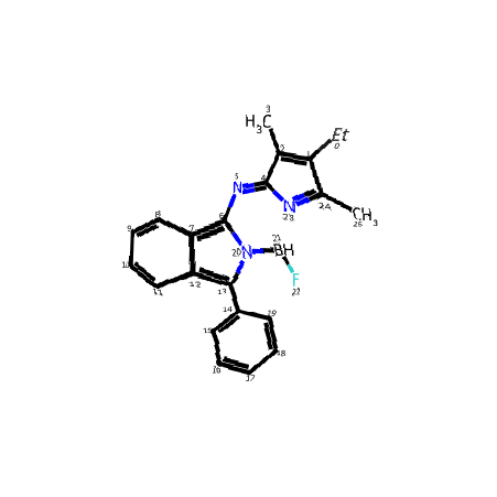 CCC1=C(C)/C(=N/c2c3ccccc3c(-c3ccccc3)n2BF)N=C1C